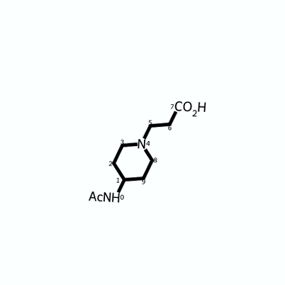 CC(=O)NC1CCN(CCC(=O)O)CC1